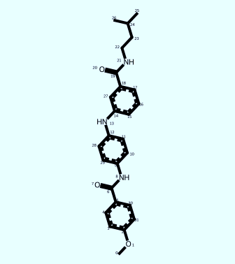 COc1ccc(C(=O)Nc2ccc(Nc3cccc(C(=O)NCCC(C)C)c3)cc2)cc1